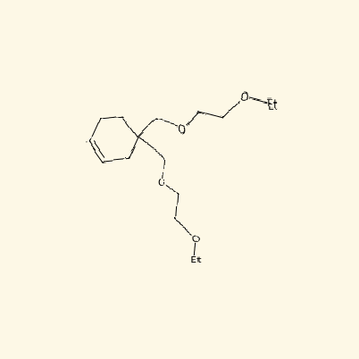 CCOCCOCC1(COCCOCC)CC=[C]CC1